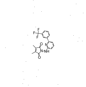 CC1=C(C)C(=O)N(Nc2cccc(-c3cccc(C(F)(F)F)c3)n2)C1=O